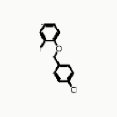 Clc1ccc(COc2cc[c]cc2I)cc1